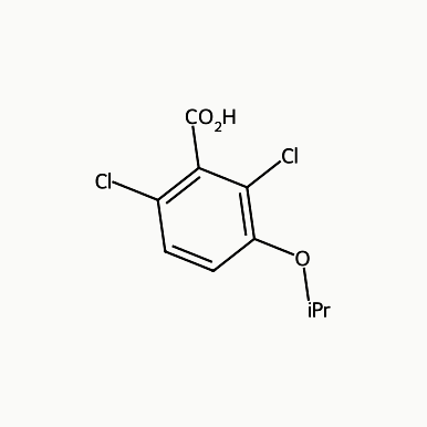 CC(C)Oc1ccc(Cl)c(C(=O)O)c1Cl